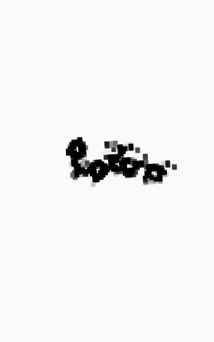 CC(C)n1c(=O)c(-c2ccc(NS(=O)(=O)Cc3ccccc3)c(F)c2)nc2cnc(N[C@@H]3CNC[C@@](C)(F)C3)nc21